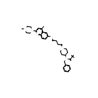 Cc1cc(N2CCN(C)CC2)nc2ccc(NC(=O)CCC(=O)N3CCC(N(Cc4ccccc4)C(=O)C(F)(F)F)CC3)cc12